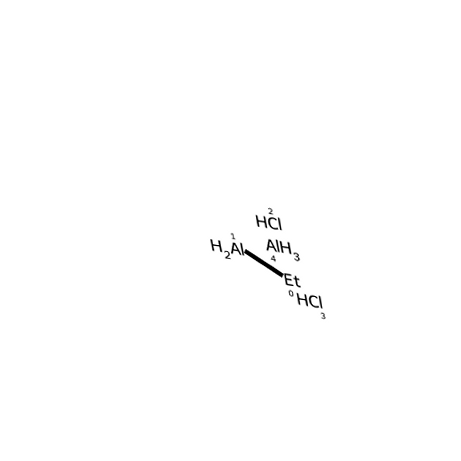 C[CH2][AlH2].Cl.Cl.[AlH3]